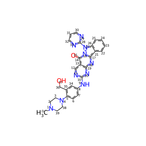 CN1CCN(c2ccc(Nc3ncc4c(=O)n5c(nc4n3)c3ccccc3n5-c3ncccn3)cc2CO)CC1